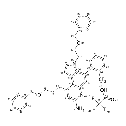 Nc1nc(NCCOCc2ccccc2)c2c(cc(-c3ccccc3C(F)(F)F)c3c2ccn3CCOCc2ccccc2)n1.O=C(O)C(F)(F)F